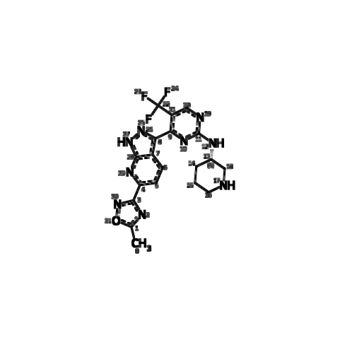 Cc1nc(-c2ccc3c(-c4nc(N[C@H]5CCCNC5)ncc4C(F)(F)F)n[nH]c3n2)no1